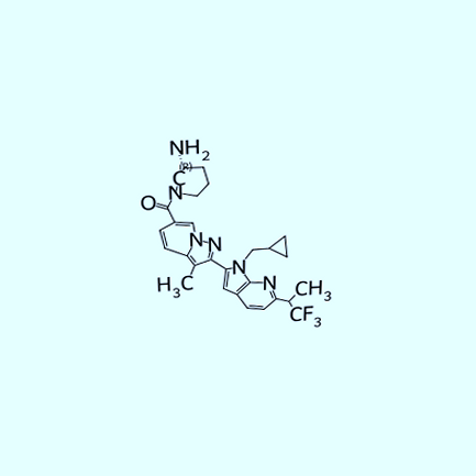 Cc1c(-c2cc3ccc(C(C)C(F)(F)F)nc3n2CC2CC2)nn2cc(C(=O)N3CCC[C@@H](N)C3)ccc12